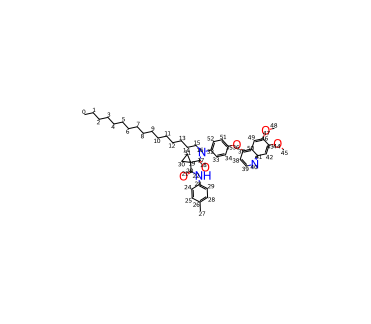 CCCCCCCCCCCCCCCCN(C(=O)C1(C(=O)Nc2ccc(C)cc2)CC1)c1ccc(Oc2ccnc3cc(OC)c(OC)cc23)cc1